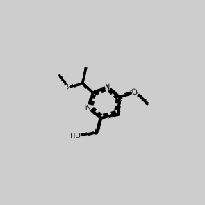 COc1cc(CO)nc(C(C)SC)n1